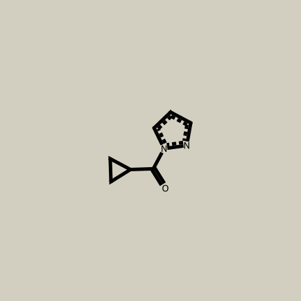 O=C(C1CC1)n1c[c]cn1